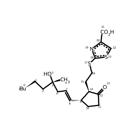 CC[C@H](C)CC[C@](C)(O)C/C=C/[C@H]1CCC(=O)[C@@H]1CCSc1nc(C(=O)O)cs1